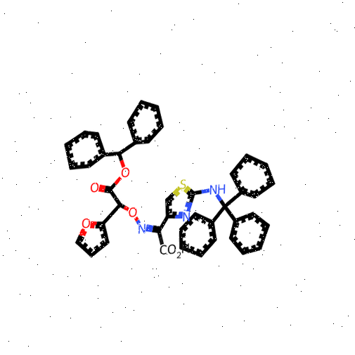 O=C(O)C(=NOC(C(=O)OC(c1ccccc1)c1ccccc1)c1ccco1)c1csc(NC(c2ccccc2)(c2ccccc2)c2ccccc2)n1